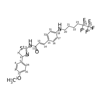 COc1ccc(C2CSC(NC(=O)/C=C/c3ccc(NCCCCC(F)(F)C(F)(F)F)cc3)=N2)cc1